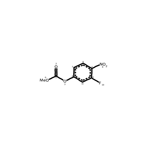 COC(=O)Oc1ccc([N+](=O)[O-])c(F)c1